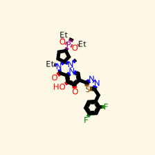 C=P(OCC)(OCC)C1CCC2(C1)N(CC)C(=O)c1c(O)c(=O)c(-c3nnc(Cc4ccc(F)cc4F)s3)cn1N2C